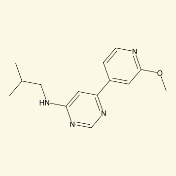 COc1cc(-c2cc(NCC(C)C)ncn2)ccn1